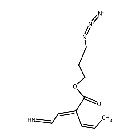 C/C=C\C(=C/C=N)C(=O)OCCCN=[N+]=[N-]